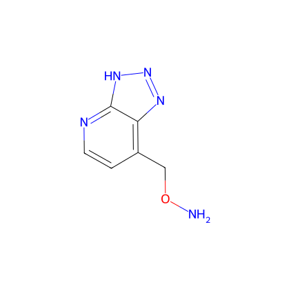 NOCc1ccnc2[nH]nnc12